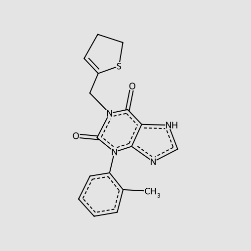 Cc1ccccc1-n1c(=O)n(CC2=CCCS2)c(=O)c2[nH]cnc21